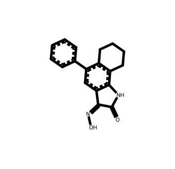 O=C1Nc2c(cc(-c3ccccc3)c3c2CCCC3)/C1=N/O